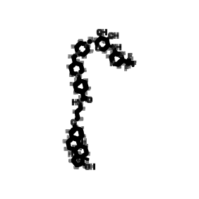 C[C@]12CC[C@@H]3c4ccc(OCCCNC(=O)c5ccc(N6CCC(CN7CCN(C[C@H]8OC[C@H](Nc9cncc(C(F)(F)F)n9)[C@@H](O)[C@H]8O)CC7)CC6)cc5)cc4CC[C@H]3[C@@H]1CC[C@@H]2O